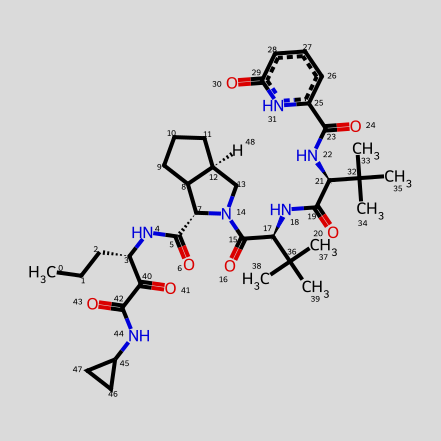 CCC[C@H](NC(=O)[C@@H]1C2CCC[C@H]2CN1C(=O)[C@@H](NC(=O)[C@@H](NC(=O)c1cccc(=O)[nH]1)C(C)(C)C)C(C)(C)C)C(=O)C(=O)NC1CC1